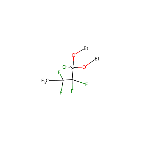 CCO[Si](Cl)(OCC)C(F)(F)C(F)(F)C(F)(F)F